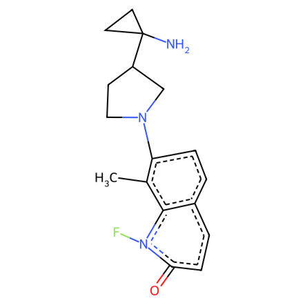 Cc1c(N2CCC(C3(N)CC3)C2)ccc2ccc(=O)n(F)c12